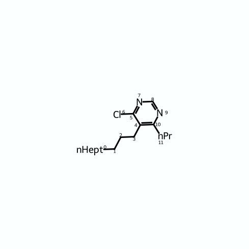 CCCCCCCCCCc1c(Cl)ncnc1CCC